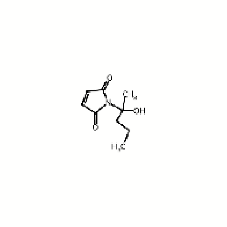 CCCC(C)(O)N1C(=O)C=CC1=O